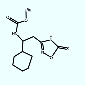 CC(C)(C)OC(=O)NC(Cc1noc(=S)[nH]1)C1CCCCC1